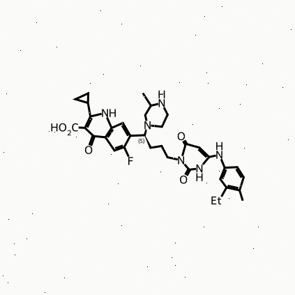 CCc1cc(Nc2cc(=O)n(CCC[C@@H](c3cc4[nH]c(C5CC5)c(C(=O)O)c(=O)c4cc3F)N3CCNC(C)C3)c(=O)[nH]2)ccc1C